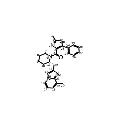 Cc1nc(C(=O)N2CCCC[C@H]2Cc2cn3cccc(C)c3n2)c(-c2ccccc2)s1